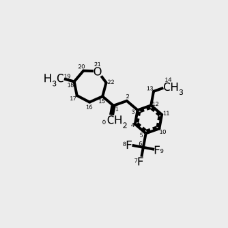 C=C(Cc1cc(C(F)(F)F)ccc1CC)C1CCC(C)COC1